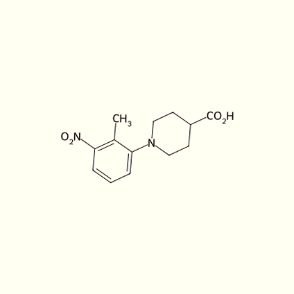 Cc1c(N2CCC(C(=O)O)CC2)cccc1[N+](=O)[O-]